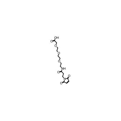 O=C(O)COCCOCCOCCNC(=O)CCN1C(=O)C=CC1=O